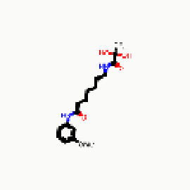 COc1cccc(NC(=O)CCCCCCNC(=O)C(O)(O)C(F)(F)F)c1